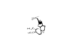 C[C@H]1C[C@@]2(CCN1C(=O)O)OCCc1cc(C=O)sc12